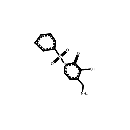 NCc1ccn(S(=O)(=O)c2ccccc2)c(=O)c1O